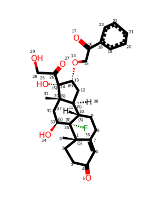 C[C@]12CCC(=O)C=C1CC[C@H]1[C@@H]3C[C@@H](OCC(=O)c4ccccc4)[C@](O)(C(=O)CO)[C@@]3(C)C[C@H](O)[C@@]12F